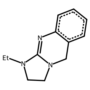 CCN1CCN2Cc3ccccc3N=C12